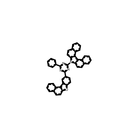 c1ccc(-c2nc(-c3ccc4oc5ccc6ccccc6c5c4c3)nc(-n3c4ccc5ccccc5c4c4c5ccccc5ccc43)n2)cc1